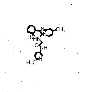 Cc1ccn2c(NCC(=O)Nc3ccc(C)nc3)c(-c3ccccc3O)nc2c1